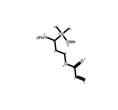 C=CC(=O)OCCC(CCCCC)[Si](C)(C)OC